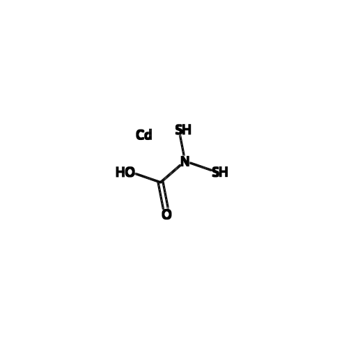 O=C(O)N(S)S.[Cd]